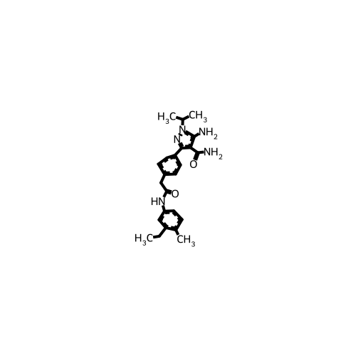 CCc1cc(NC(=O)Cc2ccc(-c3nn(C(C)C)c(N)c3C(N)=O)cc2)ccc1C